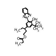 CCC(=O)OCCC(CC)c1cc(-n2nc3ccccc3n2)c(O)c(C(C)(C)C)c1